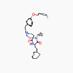 C=CCOc1ccc(CN2CCC3(CC2)C(=O)NC(CC2CCCCC2)C(=O)N3CCCC)cc1